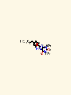 CCCn1c(=O)c2[nH]c(C34CCC(CCC(=O)O)(CC3)CO4)nc2n(CCC)c1=O